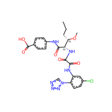 CCC[C@H](OC)[C@H](NC(=O)C(=O)Nc1cc(Cl)ccc1-n1cnnn1)C(=O)Nc1ccc(C(=O)O)cc1